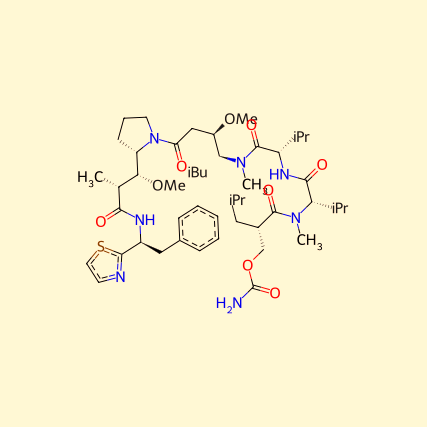 CC[C@H](C)[C@@H]([C@@H](CC(=O)N1CCC[C@H]1[C@H](OC)[C@@H](C)C(=O)N[C@@H](Cc1ccccc1)c1nccs1)OC)N(C)C(=O)[C@@H](NC(=O)[C@H](C(C)C)N(C)C(=O)[C@H](COC(N)=O)CC(C)C)C(C)C